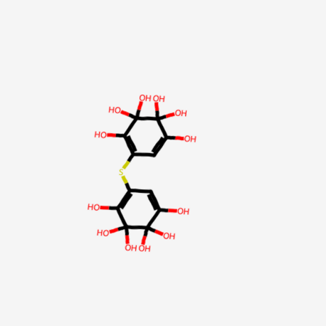 OC1=CC(SC2=C(O)C(O)(O)C(O)(O)C(O)=C2)=C(O)C(O)(O)C1(O)O